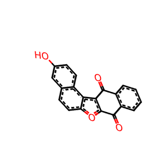 O=C1c2ccccc2C(=O)c2c1oc1ccc3cc(O)ccc3c21